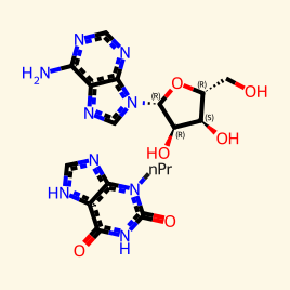 CCCn1c(=O)[nH]c(=O)c2[nH]cnc21.Nc1ncnc2c1ncn2[C@@H]1O[C@H](CO)[C@@H](O)[C@H]1O